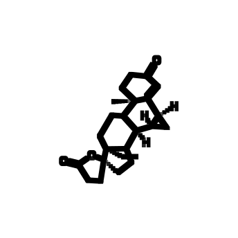 CC[C@]12CCC3[C@H](C1CC[C@@]21CCC(=O)O1)[C@@H]1C[C@@H]1C1=CC(=O)CC[C@@]13C